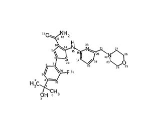 CC(C)(O)c1ccc(-c2cc(C(N)=O)c(Nc3cccc(CN4CCOCC4)n3)s2)c(F)c1